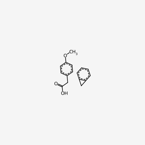 COc1ccc(CC(=O)O)cc1.c1ccc2c(c1)C2